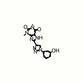 Cn1c(=O)c2[nH]c(-c3cn(-c4cccc(O)c4)nn3)nc2n(C)c1=O